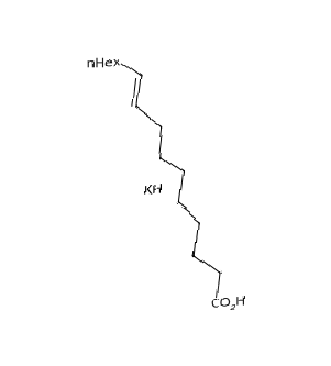 CCCCCCC=CCCCCCCCC(=O)O.[KH]